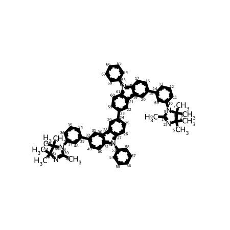 CC1=NC(C)(C)C(C)(C)N1c1cccc(-c2ccc3c(c2)c2cc(-c4ccc5c(c4)c4cc(-c6cccc(N7C(C)=NC(C)(C)C7(C)C)c6)ccc4n5-c4ccccc4)ccc2n3-c2ccccc2)c1